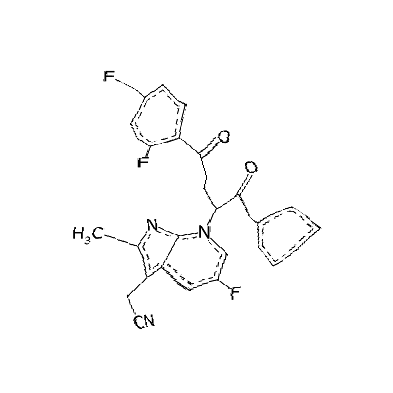 Cc1nc2n(C(CC(=O)c3ccc(F)cc3F)C(=O)c3ccccc3)cc(F)cc-2c1CC#N